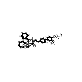 CC(C)Oc1cc(-c2ccc(CCN(C[C@@H](OC3CCCCO3)c3ccccc3)C(=O)OC(C)(C)C)cc2)ccc1C(=O)O